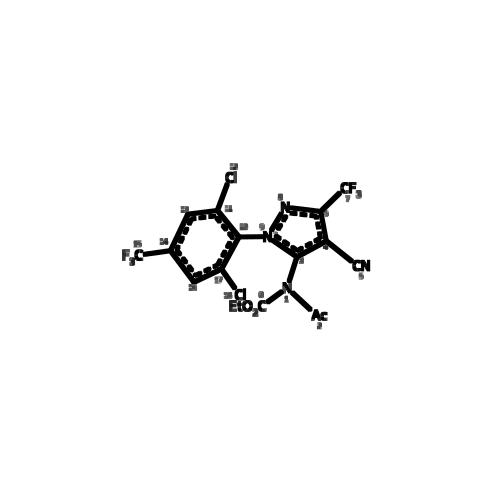 CCOC(=O)N(C(C)=O)c1c(C#N)c(C(F)(F)F)nn1-c1c(Cl)cc(C(F)(F)F)cc1Cl